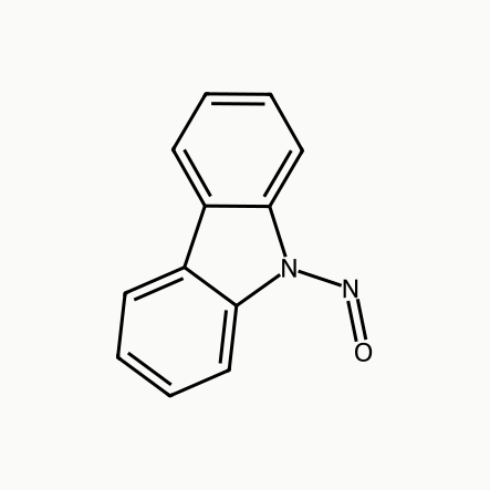 O=Nn1c2ccccc2c2ccccc21